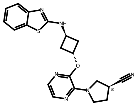 N#C[C@H]1CCN(c2nccnc2O[C@H]2C[C@H](Nc3nc4ccccc4s3)C2)C1